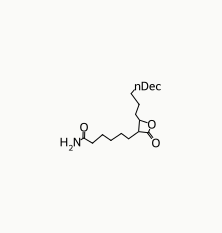 CCCCCCCCCCCCCC1OC(=O)C1CCCCCC(N)=O